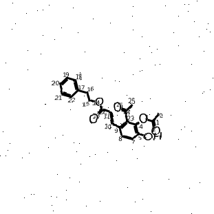 CC(=O)Oc1c(O)ccc(C=CC(=O)OCCc2ccccc2)c1C(C)=O